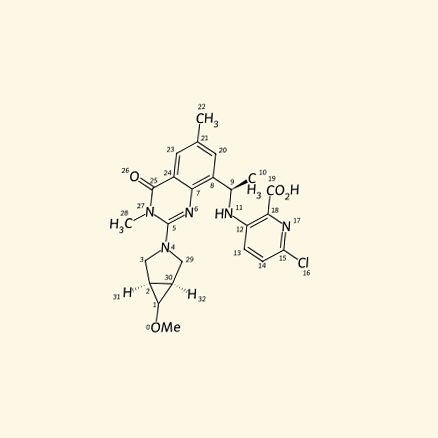 COC1[C@H]2CN(c3nc4c([C@@H](C)Nc5ccc(Cl)nc5C(=O)O)cc(C)cc4c(=O)n3C)C[C@@H]12